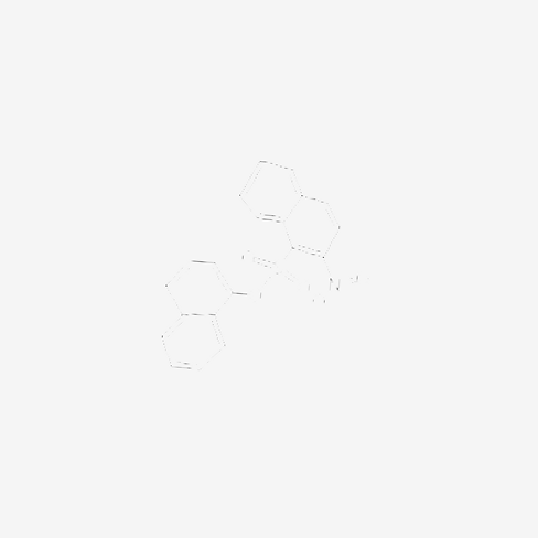 O=[N+]([O-])c1ccc2ccccc2c1S(=O)(=O)Oc1cccc2ccccc12